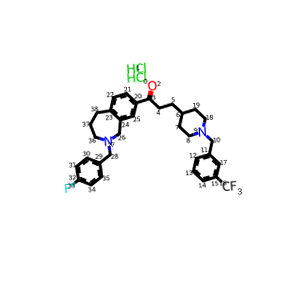 Cl.Cl.O=C(CCC1CCN(Cc2cccc(C(F)(F)F)c2)CC1)c1ccc2c(c1)CN(Cc1ccc(F)cc1)CCC2